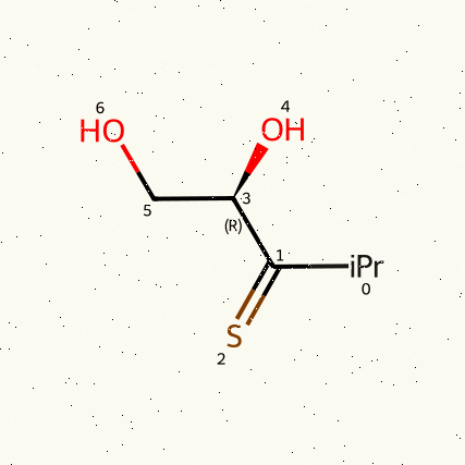 CC(C)C(=S)[C@H](O)CO